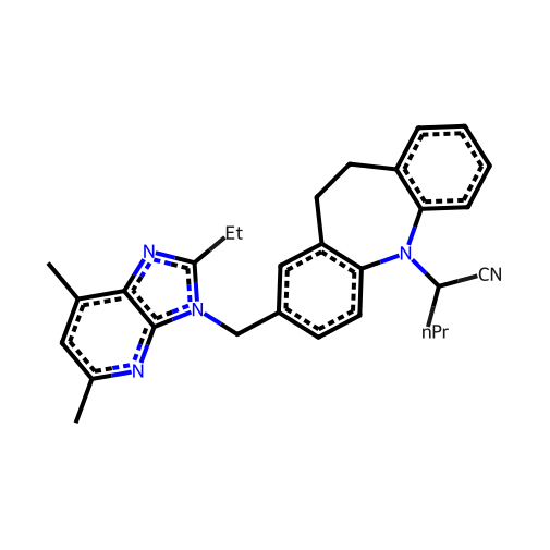 CCCC(C#N)N1c2ccccc2CCc2cc(Cn3c(CC)nc4c(C)cc(C)nc43)ccc21